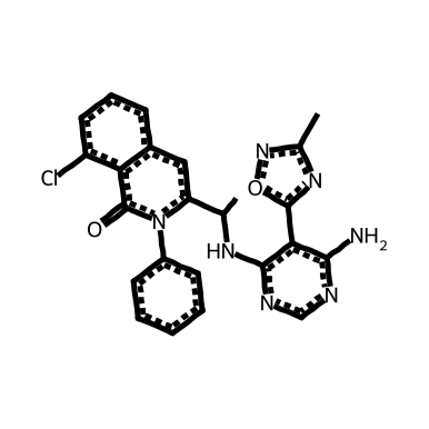 Cc1noc(-c2c(N)ncnc2NC(C)c2cc3cccc(Cl)c3c(=O)n2-c2ccccc2)n1